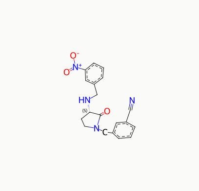 N#Cc1cccc(CN2CC[C@H](NCc3cccc([N+](=O)[O-])c3)C2=O)c1